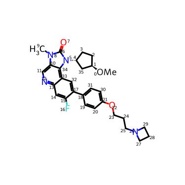 CO[C@@H]1CC[C@@H](n2c(=O)n(C)c3cnc4cc(F)c(-c5ccc(OCCCN6CCC6)cc5)cc4c32)C1